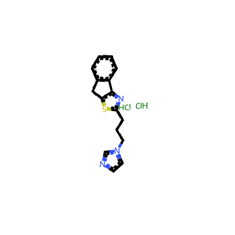 Cl.Cl.c1ccc2c(c1)Cc1sc(CCCn3ccnc3)nc1-2